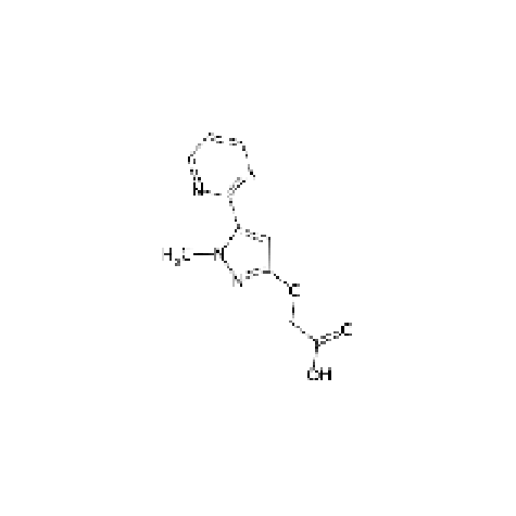 Cn1nc(OCC(=O)O)cc1-c1ncccn1